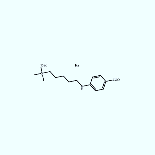 CCCCCCCCCC[Si](C)(C)CCCCCNc1ccc(C(=O)[O-])cc1.[Na+]